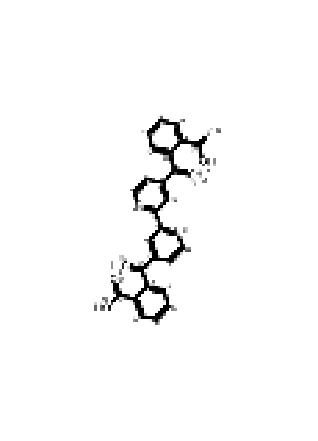 C=C(c1ccnc(-c2cc(C(=C)c3ccccc3C(=O)O)ccn2)c1)c1ccccc1C(=O)O